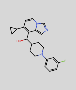 OC(c1c(C2CC2)ccn2cncc12)C1CCN(c2cccc(F)c2)CC1